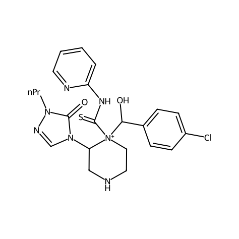 CCCn1ncn(C2CNCC[N+]2(C(=S)Nc2ccccn2)C(O)c2ccc(Cl)cc2)c1=O